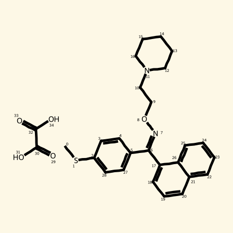 CSc1ccc(C(=NOCCN2CCCCC2)c2cccc3ccccc23)cc1.O=C(O)C(=O)O